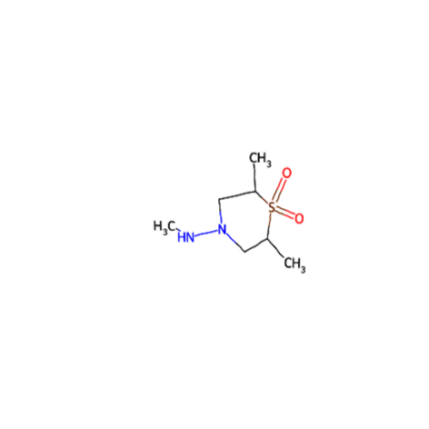 CNN1CC(C)S(=O)(=O)C(C)C1